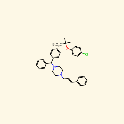 C(=C\c1ccccc1)/CN1CCN(C(c2ccccc2)c2ccccc2)CC1.CCOC(=O)C(C)(C)Oc1ccc(Cl)cc1